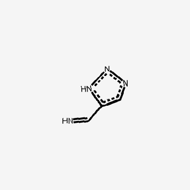 N=Cc1cnn[nH]1